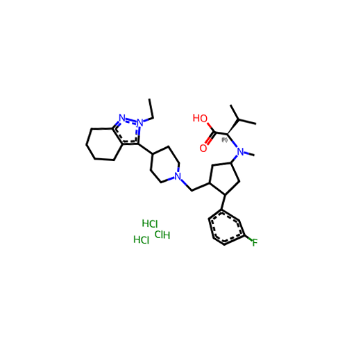 CCn1nc2c(c1C1CCN(CC3CC(N(C)[C@@H](C(=O)O)C(C)C)CC3c3cccc(F)c3)CC1)CCCC2.Cl.Cl.Cl